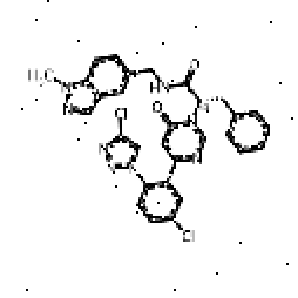 Cn1ncc2cc(CNC(=O)[C@H](Cc3ccccc3)n3cnc(-c4cc(Cl)ccc4-n4cc(Cl)nn4)cc3=O)ccc21